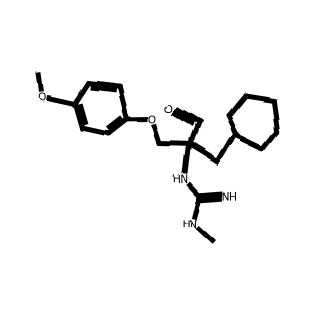 CNC(=N)NC(C=O)(COc1ccc(OC)cc1)CC1CCCCC1